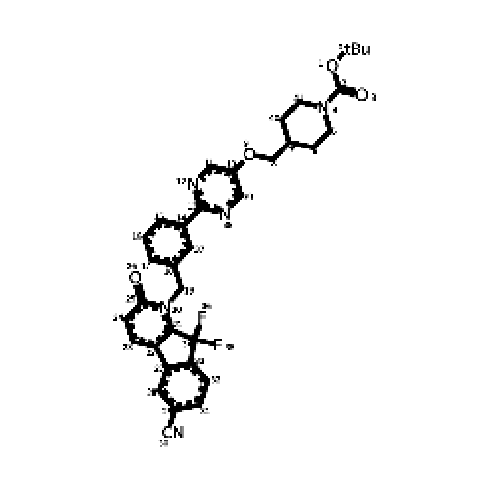 CC(C)(C)OC(=O)N1CCC(COc2cnc(-c3cccc(Cn4c5c(ccc4=O)-c4cc(C#N)ccc4C5(F)F)c3)nc2)CC1